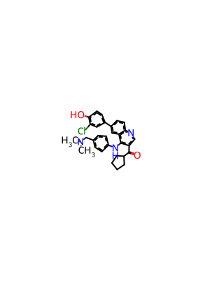 CN(C)Cc1ccc(Nc2c(C(=O)C3CCCC3)cnc3ccc(-c4ccc(O)c(Cl)c4)cc23)cc1